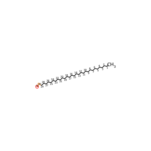 CCCCCCCCCCCCCCCCCCCCCCCCCCCCCCP=O